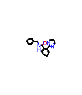 O=C(NCc1ccccc1)c1ccccc1C1N=CC=CN1